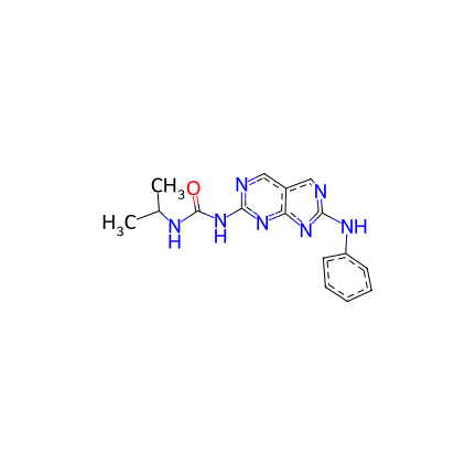 CC(C)NC(=O)Nc1ncc2cnc(Nc3ccccc3)nc2n1